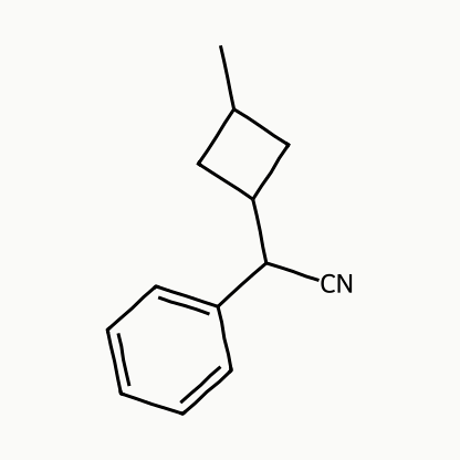 CC1CC(C(C#N)c2ccccc2)C1